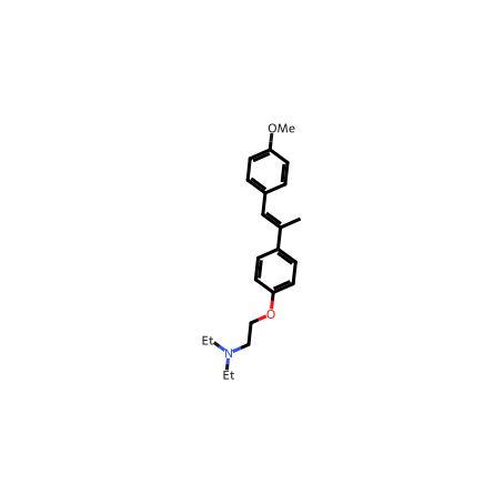 CCN(CC)CCOc1ccc(C(C)=Cc2ccc(OC)cc2)cc1